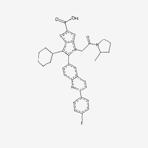 CC1CCCN1C(=O)Cn1c(-c2ccc3nc(-c4ccc(F)cc4)ccc3c2)c(C2CCCCC2)c2sc(C(=O)O)cc21